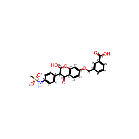 CS(=O)(=O)Nc1ccc(C2C(=O)c3ccc(OCc4cccc(C(=O)O)c4)cc3OC2O)cc1